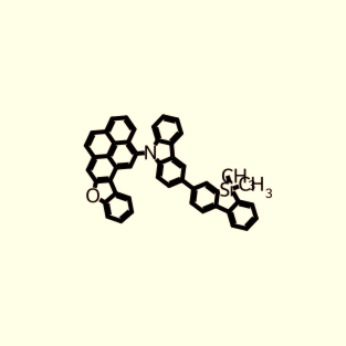 C[Si]1(C)c2ccccc2-c2ccc(-c3ccc4c(c3)c3ccccc3n4-c3cc4c5c(cc6ccc7cccc3c7c64)oc3ccccc35)cc21